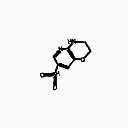 O=[SH](=O)c1cnc2c(c1)OCCN2